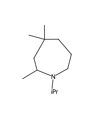 CC(C)N1CCCC(C)(C)CC1C